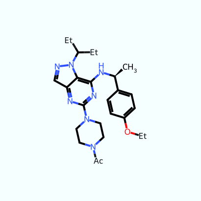 CCOc1ccc([C@H](C)Nc2nc(N3CCN(C(C)=O)CC3)nc3cnn(C(CC)CC)c23)cc1